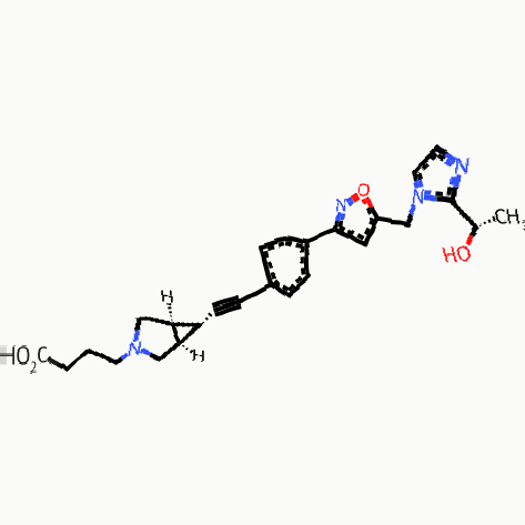 C[C@H](O)c1nccn1Cc1cc(-c2ccc(C#C[C@@H]3[C@H]4CN(CCCC(=O)O)C[C@@H]34)cc2)no1